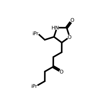 CC(C)CCC(=O)CCC1OC(=O)NC1CC(C)C